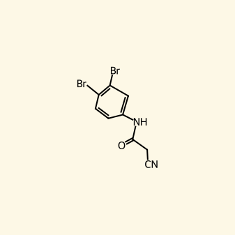 N#CCC(=O)Nc1ccc(Br)c(Br)c1